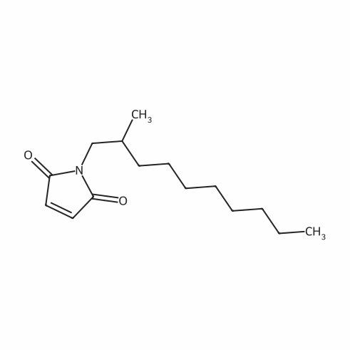 CCCCCCCCC(C)CN1C(=O)C=CC1=O